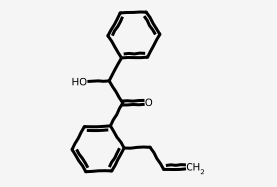 C=CCc1ccccc1C(=O)C(O)c1ccccc1